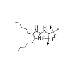 CCCCCc1nc(NC(C(F)(F)F)C(F)(F)F)[nH]c1CCCCC